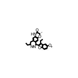 CCC1=NN=C(c2oc3ccc(OC)cc3c2CC)c2cc3c(cc2C1)NC(=O)[C@H](C)O3